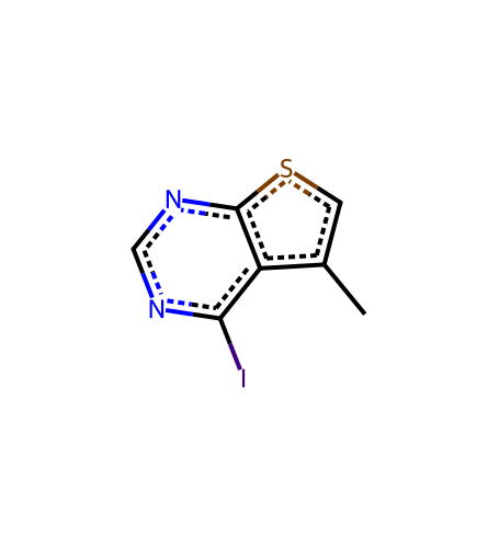 Cc1csc2ncnc(I)c12